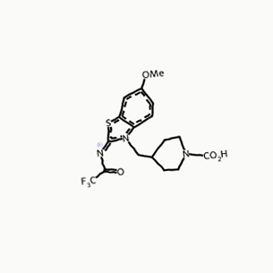 COc1ccc2c(c1)s/c(=N/C(=O)C(F)(F)F)n2CC1CCN(C(=O)O)CC1